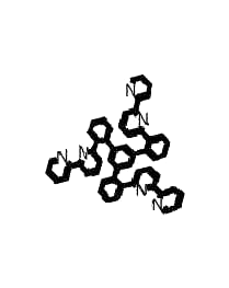 c1ccc(-c2cccc(-c3ccccc3-c3cc(-c4ccccc4-c4cccc(-c5ccccn5)n4)cc(-c4ccccc4-c4cccc(-c5ccccn5)n4)c3)n2)nc1